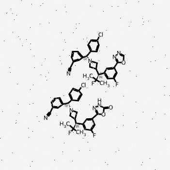 CC(C)(F)[C@H](c1cc(F)cc(-c2n[nH]c(=O)o2)c1)C1CN([C@@H](c2ccc(Cl)cc2)c2cccc(C#N)c2)C1.CC(C)(F)[C@H](c1cc(F)cc(-c2nnco2)c1)C1CN([C@@H](c2ccc(Cl)cc2)c2cccc(C#N)c2)C1